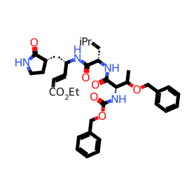 CCOC(=O)/C=C/[C@H](C[C@@H]1CCNC1=O)NC(=O)[C@H](CC(C)C)NC(=O)[C@@H](NC(=O)OCc1ccccc1)C(C)OCc1ccccc1